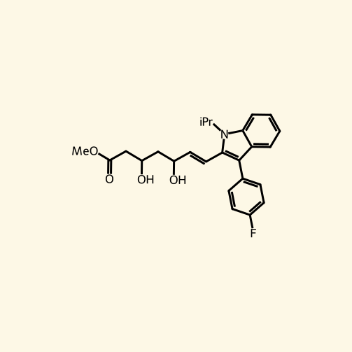 COC(=O)CC(O)CC(O)C=Cc1c(-c2ccc(F)cc2)c2ccccc2n1C(C)C